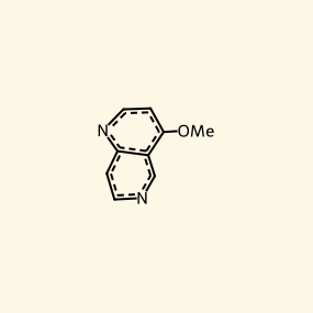 COc1ccnc2ccncc12